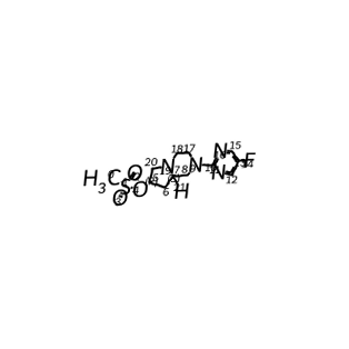 CS(=O)(=O)O[C@@H]1C[C@H]2CN(c3ncc(F)cn3)CCN2C1